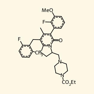 CCOC(=O)N1CCN(CC2CSc3c(Cc4c(F)cccc4C(F)(F)F)c(C)c(-c4cccc(OC)c4F)c(=O)n32)CC1